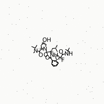 CC(C)C[C@@H](NC(=O)c1ccccc1O[C@@H](F)C(=O)NC(C)(C)C)C(=O)N1C[C@@H](O)C[C@@H]1C(=O)N(C)C(C)C